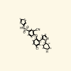 N#Cc1cc(S(=O)(=O)Nc2cscn2)ccc1Oc1ccc(Cl)cc1-c1ccnn1C1CCNCC1